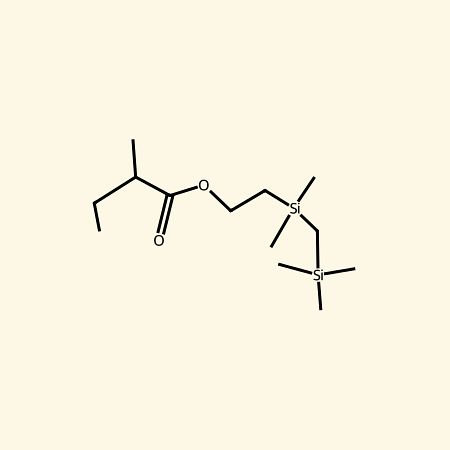 CCC(C)C(=O)OCC[Si](C)(C)C[Si](C)(C)C